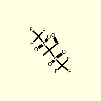 CC(C=O)(S(=O)(=O)C(F)(F)F)S(=O)(=O)C(F)(F)F